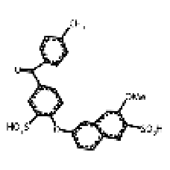 COc1cc2cc(Oc3ccc(C(=O)c4ccc(C)cc4)cc3S(=O)(=O)O)ccc2cc1S(=O)(=O)O